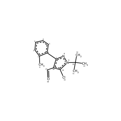 Cc1ccccc1-c1nn(C(C)(C)C)c(Cl)c1C=O